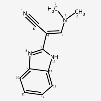 CN(C)/C=C(\C#N)c1nc2ccccc2[nH]1